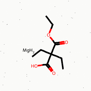 CCOC(=O)C(CC)(CC)C(=O)O.[MgH2]